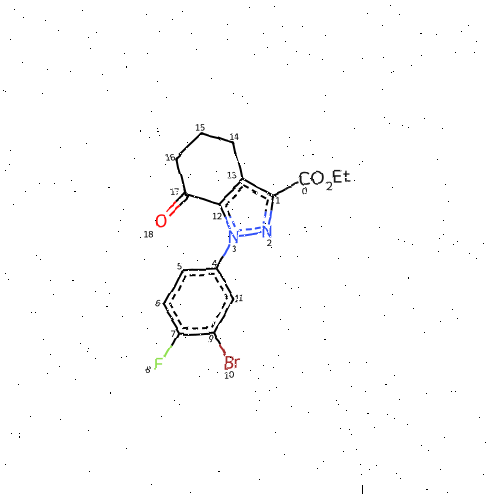 CCOC(=O)c1nn(-c2ccc(F)c(Br)c2)c2c1CCCC2=O